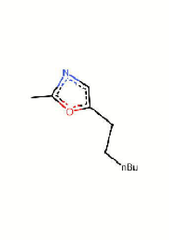 CCCCCCc1cnc(C)o1